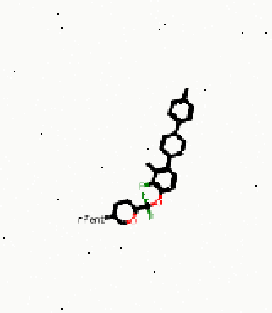 CCCCCC1CCC(C(F)(F)Oc2ccc(C3CCC(c4ccc(C)cc4)CC3)c(C)c2F)OC1